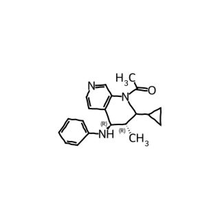 CC(=O)N1c2cnccc2[C@H](Nc2ccccc2)[C@@H](C)C1C1CC1